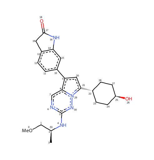 COC[C@H](C)Nc1ncc2c(-c3ccc4c(c3)NC(=O)C4)cc([C@H]3CC[C@H](O)CC3)n2n1